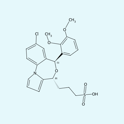 COc1cccc([C@H]2O[C@H](CCCS(=O)(=O)O)c3cccn3-c3ccc(Cl)cc32)c1OC